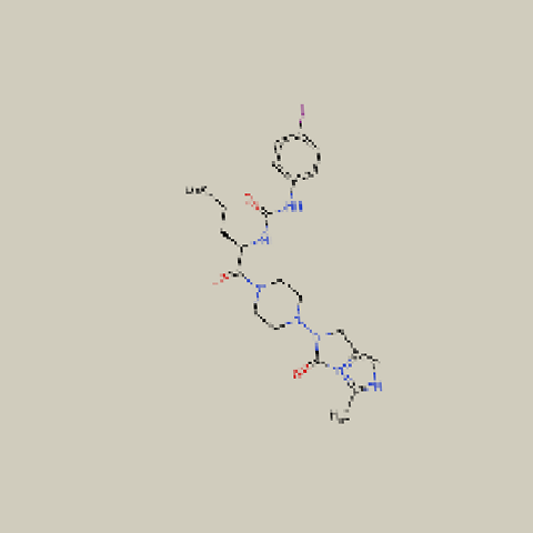 CSCC[C@@H](NC(=O)Nc1ccc(I)cc1)C(=O)N1CCN(N2Cc3cnc(C)n3C2=O)CC1